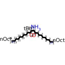 CCCCCCCC/C=C\CCCCCCCC(=O)CC(C(=O)CCCCCCC/C=C\CCCCCCCC)C(C)(C)C.N